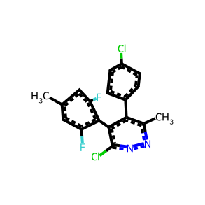 Cc1cc(F)c(-c2c(Cl)nnc(C)c2-c2ccc(Cl)cc2)c(F)c1